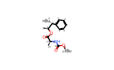 CCCC[C@H](c1ccccc1)[C@H](C)OC(=O)[C@H](C)NC(=O)OC(C)(C)C